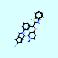 CN1CCC(OC(c2cccc(N3CC4=CC(F)CC4C3)c2)c2nc3ccccc3s2)CC1